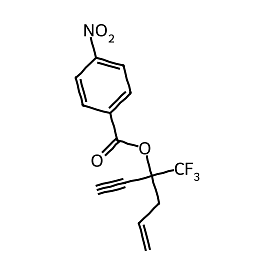 C#CC(CC=C)(OC(=O)c1ccc([N+](=O)[O-])cc1)C(F)(F)F